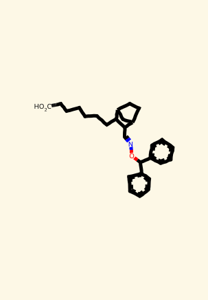 O=C(O)CCCCCCC1C2CCC(C2)C1C=NOC(c1ccccc1)c1ccccc1